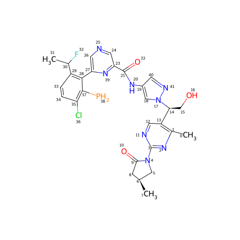 Cc1nc(N2C[C@@H](C)CC2=O)ncc1[C@H](CO)n1cc(NC(=O)c2cncc(-c3c(C(C)F)ccc(Cl)c3P)n2)cn1